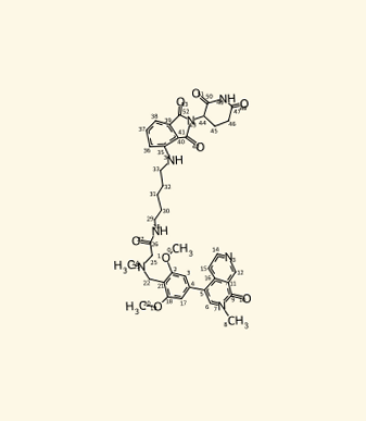 COc1cc(-c2cn(C)c(=O)c3cnccc23)cc(OC)c1CN(C)CC(=O)NCCCCCNc1cccc2c1C(=O)N(C1CCC(=O)NC1=O)C2=O